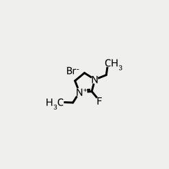 CCN1CC[N+](CC)=C1F.[Br-]